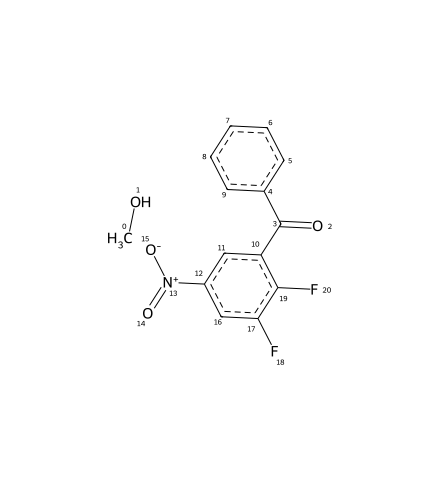 CO.O=C(c1ccccc1)c1cc([N+](=O)[O-])cc(F)c1F